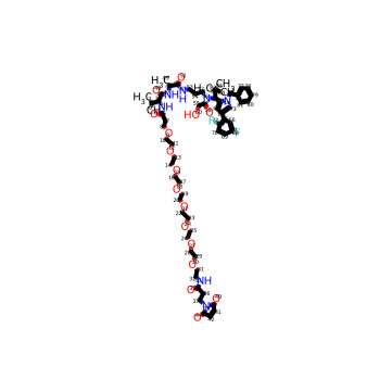 CC(C)[C@H](NC(=O)CCOCCOCCOCCOCCOCCOCCOCCOCCNC(=O)CCN1C(=O)C=CC1=O)C(=O)N[C@@H](C)C(=O)NCCCN(C(=O)CO)C(c1cc(-c2cc(F)ccc2F)cn1Cc1ccccc1)C(C)(C)C